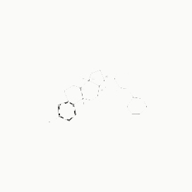 CC(COC1CCCCO1)[C@H]1CC[C@H]2[C@@H]3CCc4cc(O)ccc4[C@H]3CC[C@]12C